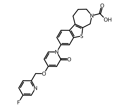 O=C(O)N1CCCc2c(sc3cc(-n4ccc(OCc5ccc(F)cn5)cc4=O)ccc23)C1